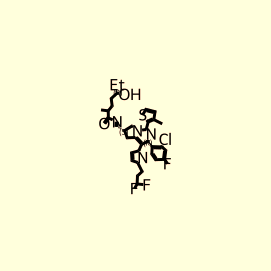 CC[C@@H](O)CCC(C)C(=O)N=C[C@H]1CC2=C(C3=NC(CCC(F)F)C=C3)[C@H](c3ccc(F)cc3Cl)N=C(c3sccc3C)N2C1